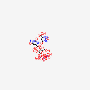 O=C(O)c1cc(=O)[nH]c(=O)[nH]1.O=C1CC(C(=O)O)NC(=O)N1.O=P(O)(O)OP(=O)(O)OP(=O)(O)OC1O[C@H](CO)[C@@H](O)[C@H]1O